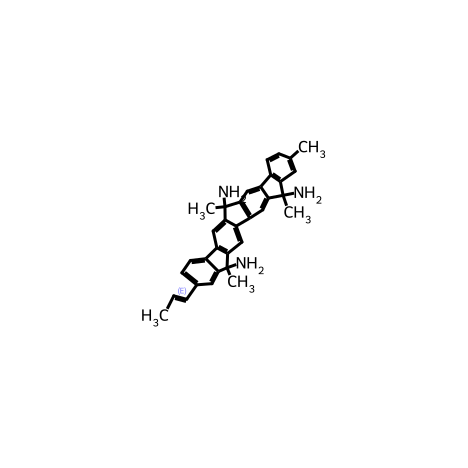 C/C=C/c1ccc2c(c1)C(C)(N)c1cc3c(cc1-2)C(C)(N)c1cc2c(cc1-3)C(C)(N)c1cc(C)ccc1-2